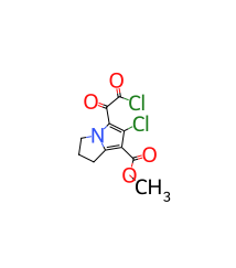 COC(=O)c1c(Cl)c(C(=O)C(=O)Cl)n2c1CCC2